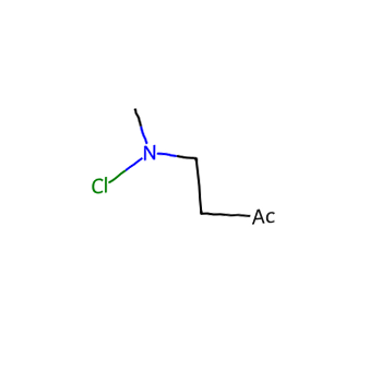 CC(=O)CCN(C)Cl